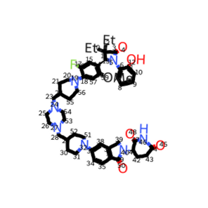 CCC1(CC)C(=O)N(c2ccccc2O)[C@H]1c1cc(F)c(N2CCC(CN3CCN(CC4CCN(c5ccc6c(c5)CN([C@H]5CCC(=O)NC5=O)C6=O)CC4)CC3)CC2)cc1OC